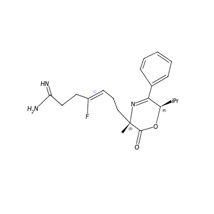 CC(C)[C@H]1OC(=O)[C@](C)(CC/C=C(\F)CCC(=N)N)N=C1c1ccccc1